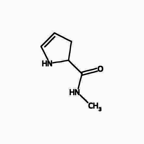 CNC(=O)C1CC=CN1